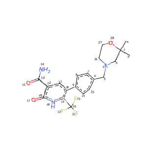 CC1(C)CN(Cc2ccc(-c3cc(C(N)=O)c(=O)[nH]c3C(F)(F)F)cc2)CCO1